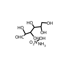 N.O=CC(O)C(O)C(O)C(O)CO.O=[N+]([O-])O